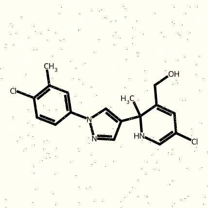 Cc1cc(-n2cc(C3(C)NC=C(Cl)C=C3CO)cn2)ccc1Cl